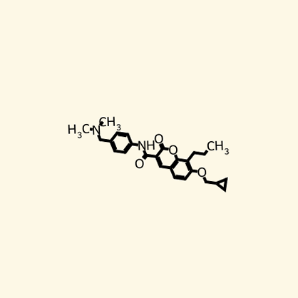 CCCc1c(OCC2CC2)ccc2cc(C(=O)Nc3ccc(CN(C)C)cc3)c(=O)oc12